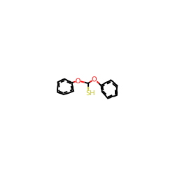 SC(Oc1ccccc1)Oc1ccccc1